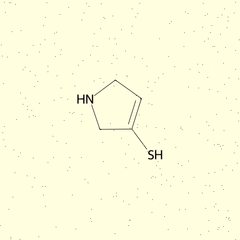 SC1=CCNC1